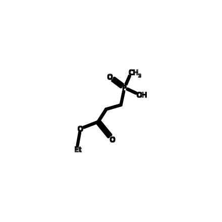 CCOC(=O)CCP(C)(=O)O